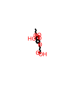 CCCCOc1c(O)c2ccc(OCCCCC(=O)O)cc2oc1=O